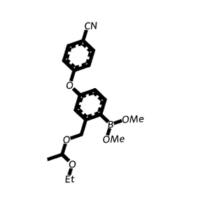 CCOC(C)OCc1cc(Oc2ccc(C#N)cc2)ccc1B(OC)OC